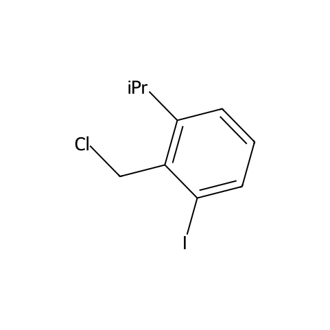 CC(C)c1cccc(I)c1CCl